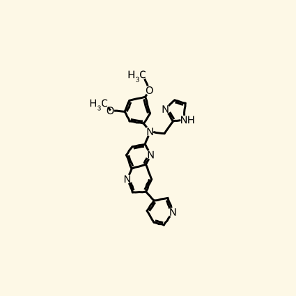 COc1cc(OC)cc(N(Cc2ncc[nH]2)c2ccc3ncc(-c4cccnc4)cc3n2)c1